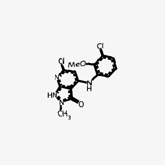 COc1c(Cl)cccc1Nc1cc(Cl)nc2[nH]n(C)c(=O)c12